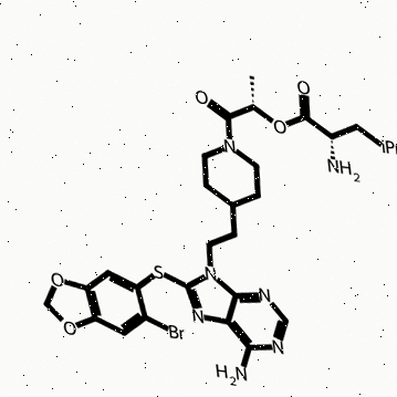 CC(C)C[C@H](N)C(=O)O[C@@H](C)C(=O)N1CCC(CCn2c(Sc3cc4c(cc3Br)OCO4)nc3c(N)ncnc32)CC1